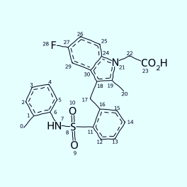 Cc1ccccc1NS(=O)(=O)c1ccccc1Cc1c(C)n(CC(=O)O)c2ccc(F)cc12